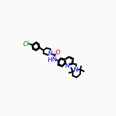 CC1(C)CCCC(C)(C)N1Cc1ccc2cc(NC(=O)N3CCC(c4ccc(Cl)cc4)CC3)ccc2n1